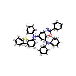 c1ccc(-c2nc3cc(N(c4ccccc4)c4cccc5c4sc4ccccc45)cc(N(c4ccccc4)c4ccccc4)c3o2)cc1